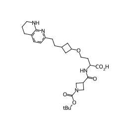 CC(C)(C)OC(=O)N1CC(C(=O)NC(CCOC2CC(CCc3ccc4c(n3)NCCC4)C2)C(=O)O)C1